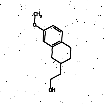 COc1ccc2c(c1)CC(CCO)CC2